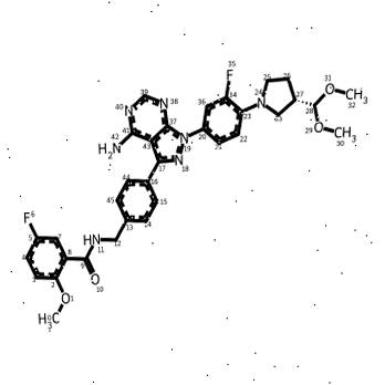 COc1ccc(F)cc1C(=O)NCc1ccc(-c2nn(-c3ccc(N4CC[C@H](C(OC)OC)C4)c(F)c3)c3ncnc(N)c23)cc1